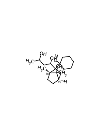 CC(O)CC(O)C1(C2(O)CCCCC2)C[C@H]2CC[C@@]1(C)C2(C)C